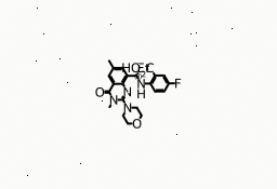 CC[C@@H](Nc1ccc(F)cc1C(=O)O)c1cc(C)cc2c(=O)n(C)c(N3CCOCC3)nc12